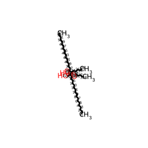 CCCCCCCCC=CCCCCCCCC(=O)C(O)(CO)C(CCCCC)(OCCCCC)C(=O)CCCCCCCC=CCCCCCCCC